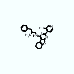 NC(CNc1nc(-c2ccncc2O)nc2sc3c(c12)CCCC3)Cc1ccccc1